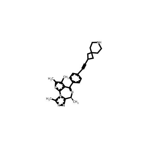 Cc1sc2c(c1C)C(c1ccc(C#CC3CC4(CCNCC4)C3)cc1)=N[C@@H](C)c1nnc(C)n1-2